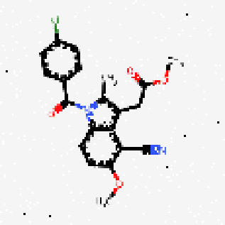 COC(=O)Cc1c(C)n(C(=O)c2ccc(Cl)cc2)c2ccc(OC)c(C#N)c12